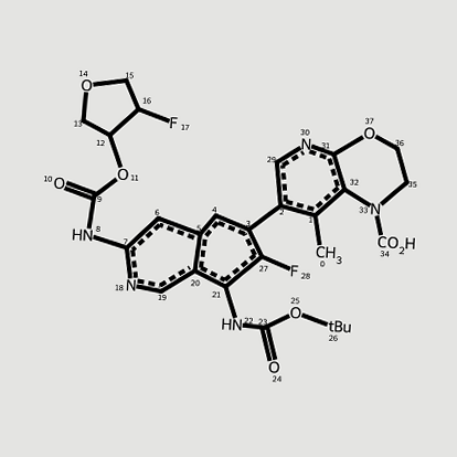 Cc1c(-c2cc3cc(NC(=O)OC4COCC4F)ncc3c(NC(=O)OC(C)(C)C)c2F)cnc2c1N(C(=O)O)CCO2